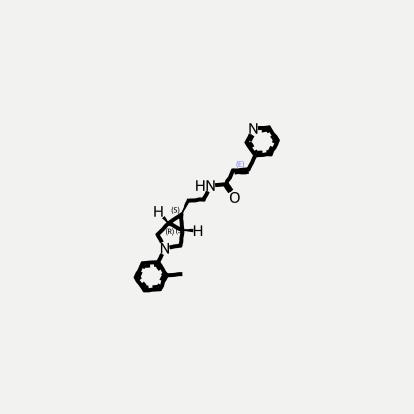 Cc1ccccc1N1C[C@@H]2[C@@H](CCNC(=O)/C=C/c3cccnc3)[C@@H]2C1